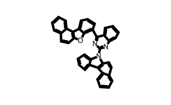 c1ccc2c(c1)ccc1oc3c(-c4nc(-n5c6ccccc6c6c7ccccc7ccc65)nc5ccccc45)cccc3c12